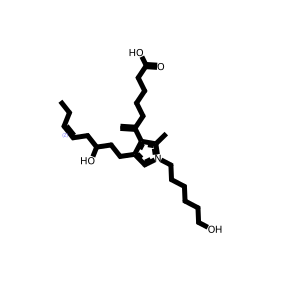 C=C(CCCCC(=O)O)c1c(CCC(O)C/C=C\CC)cn(CCCCCCO)c1C